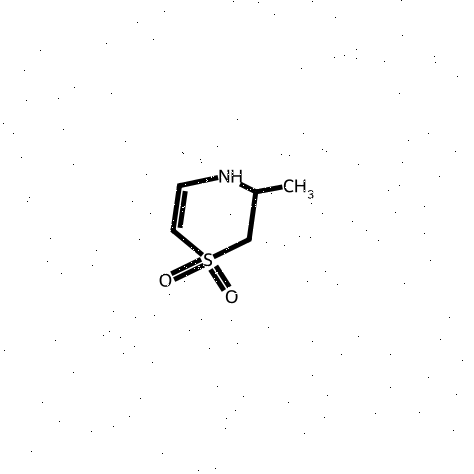 CC1CS(=O)(=O)C=CN1